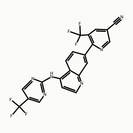 N#Cc1cnc(-c2ccc3c(Nc4ncc(C(F)(F)F)cn4)ccnc3c2)c(C(F)(F)F)c1